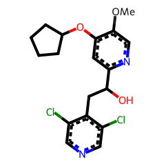 COc1cnc(C(O)Cc2c(Cl)cncc2Cl)cc1OC1CCCC1